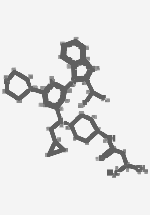 CN(C)CC(=O)N[C@H]1CC[C@H](N(CC2CC2)c2cc(-n3c(C(F)F)nc4ccccc43)nc(N3CCOCC3)n2)CC1